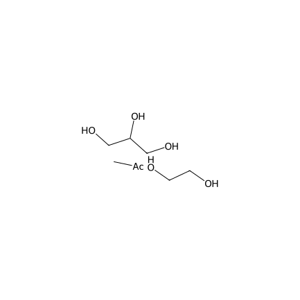 CC(C)=O.OCC(O)CO.OCCO